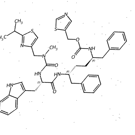 CC(C)c1nc(CN(C)C(=O)N[C@@H](Cc2c[nH]c3ccccc23)C(=O)N[C@H](CC[C@H](Cc2ccccc2)NC(=O)OCc2cncs2)Cc2ccccc2)cs1